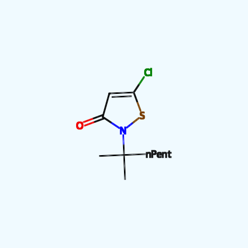 CCCCCC(C)(C)n1sc(Cl)cc1=O